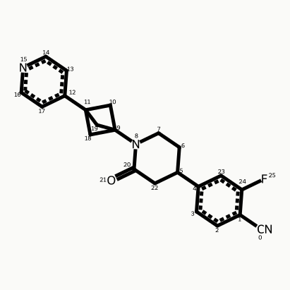 N#Cc1ccc(C2CCN(C34CC(c5ccncc5)(C3)C4)C(=O)C2)cc1F